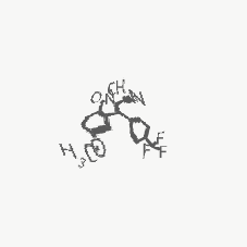 COc1ccc2c(=O)n(C)c(C#N)c(-c3ccc(C(F)(F)F)cc3)c2c1